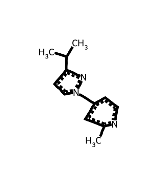 Cc1cc(-n2ccc(C(C)C)n2)ccn1